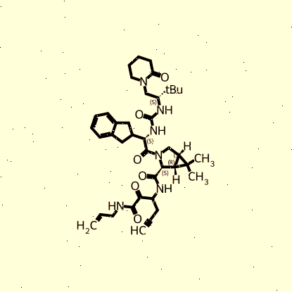 C#CCC(NC(=O)[C@@H]1[C@@H]2[C@H](CN1C(=O)[C@@H](NC(=O)N[C@H](CN1CCCCC1=O)C(C)(C)C)C1Cc3ccccc3C1)C2(C)C)C(=O)C(=O)NCC=C